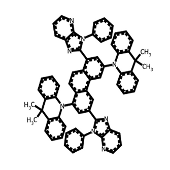 CC1(C)c2ccccc2N(c2cc(-c3nc4cccnc4n3-c3ccccc3)c3ccc4c(N5c6ccccc6C(C)(C)c6ccccc65)cc(-c5nc6cccnc6n5-c5ccccc5)cc4c3c2)c2ccccc21